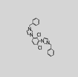 Clc1ccc(N2C=CN(Cc3ccccc3)C2)c(Cl)c1N1C=CN(Cc2ccccc2)C1